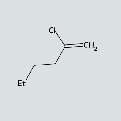 C=C(Cl)CCCC